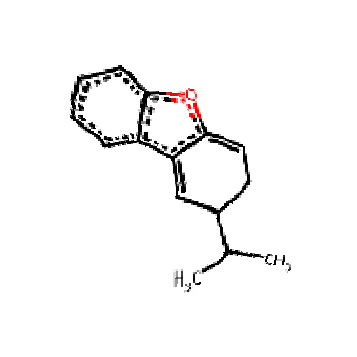 CC(C)C1C=c2c(oc3ccccc23)=CC1